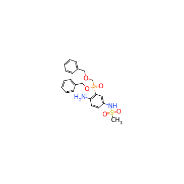 CS(=O)(=O)Nc1ccc(N)c(P(=O)(COCc2ccccc2)OCc2ccccc2)c1